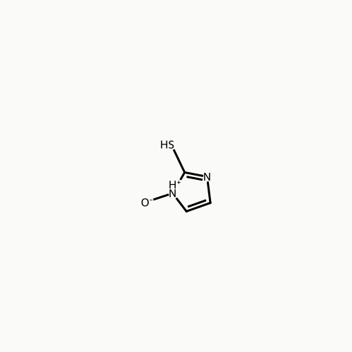 [O-][NH+]1C=CN=C1S